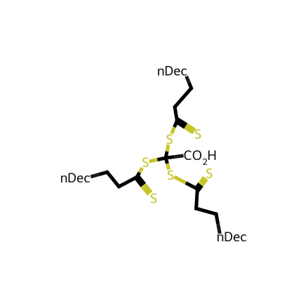 CCCCCCCCCCCCC(=S)SC(SC(=S)CCCCCCCCCCCC)(SC(=S)CCCCCCCCCCCC)C(=O)O